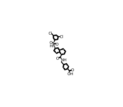 O=C(O)c1ccc(CNC(=O)c2cccc3cc(NS(=O)(=O)c4cc(Cl)cc(Cl)c4)ccc23)cc1